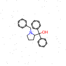 OC(c1ccccc1)(c1ccccc1)C1CCCN1Cc1ccccc1